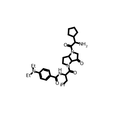 CCN(CC)c1ccc(C(=O)NC(CC(C)C)C(=O)N2CCC3C2C(=O)CN3C(=O)C(N)C2CCCC2)cc1